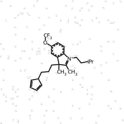 CC1=[N+](CCC(C)C)c2ccc(OC(F)(F)F)cc2C1(C)CCCC1C=CC=C1